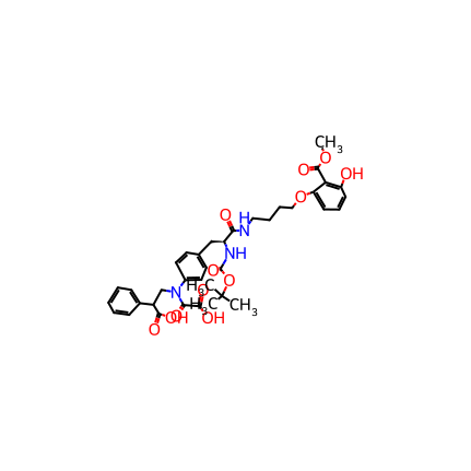 COC(=O)c1c(O)cccc1OCCCCNC(=O)[C@H](Cc1ccc(N(CC(C(=O)O)c2ccccc2)C(=O)C(=O)O)cc1)NC(=O)OC(C)(C)C